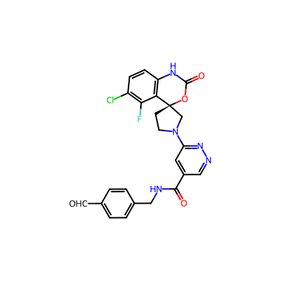 O=Cc1ccc(CNC(=O)c2cnnc(N3CC[C@]4(C3)OC(=O)Nc3ccc(Cl)c(F)c34)c2)cc1